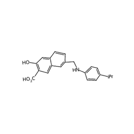 CC(C)c1ccc(NCc2ccc3cc(O)c(C(=O)O)cc3c2)cc1